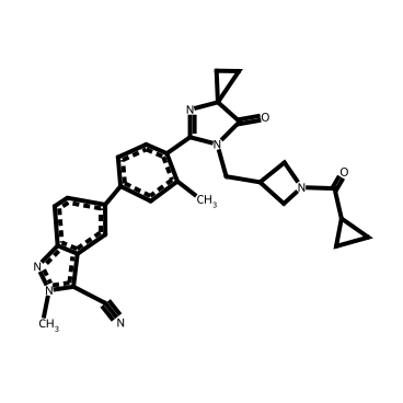 Cc1cc(-c2ccc3nn(C)c(C#N)c3c2)ccc1C1=NC2(CC2)C(=O)N1CC1CN(C(=O)C2CC2)C1